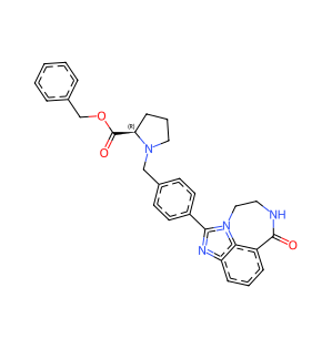 O=C1NCCn2c(-c3ccc(CN4CCC[C@@H]4C(=O)OCc4ccccc4)cc3)nc3cccc1c32